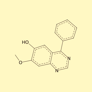 COc1cc2ncnc(-c3ccccc3)c2cc1O